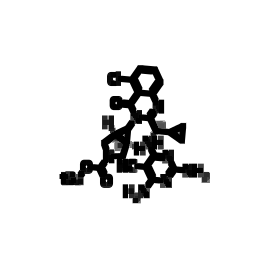 CC(C)(C)OC(=O)N1C[C@@H]2C(n3c([C@@H](Nc4nc(N)nc(N)c4C#N)C4CC4)nc4cccc(Cl)c4c3=O)[C@@H]2C1